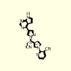 N#CC[C@@H]([C@H]1CCN(c2ncccc2C#N)C1)n1cc(-c2ncnc3[nH]ccc23)cn1